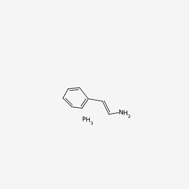 NC=Cc1ccccc1.P